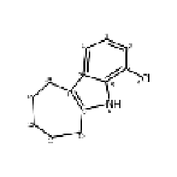 Clc1cccc2c3c([nH]c12)CCCCC3